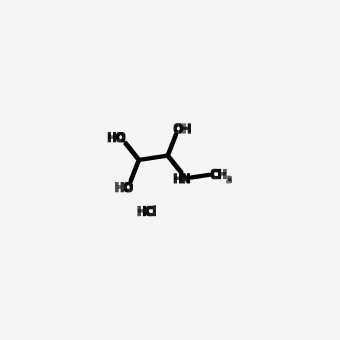 CNC(O)C(O)O.Cl